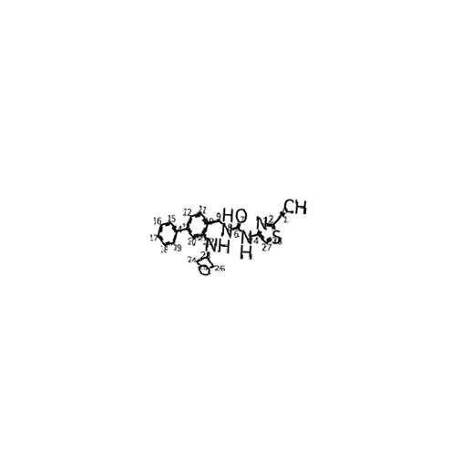 C#Cc1nc(NC(=O)NCc2ccc(-c3ccccc3)cc2NC2COC2)cs1